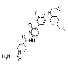 CC(C)(N)C(=O)N1CCN(C(=O)Nc2ccn(-c3ccc(CN(CC4CC4)[C@H]4CC[C@H](N)CC4)c(F)c3)c(=O)n2)CC1